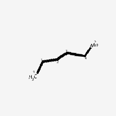 CCCC[CH2][Mn]